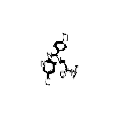 CN(C)C(=O)Cn1c(-c2ccc(Cl)cc2)nc2ncc(Cl)cc21